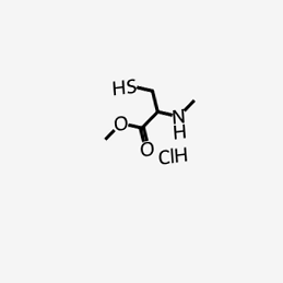 CNC(CS)C(=O)OC.Cl